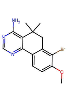 COc1ccc2c(c1Br)CC(C)(C)c1c(N)ncnc1-2